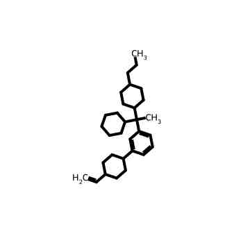 C=CC1CCC(c2cccc(C(C)(C3CCCCC3)C3CCC(CCC)CC3)c2)CC1